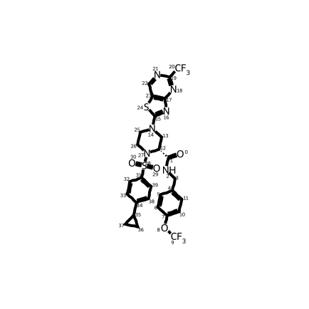 O=C(NCc1ccc(OC(F)(F)F)cc1)[C@H]1CN(c2nc3nc(C(F)(F)F)ncc3s2)CCN1S(=O)(=O)c1ccc(C2CC2)cc1